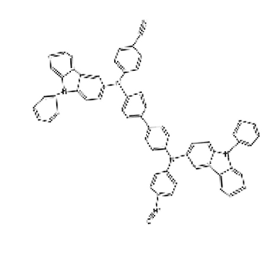 [C-]#[N+]c1ccc(N(c2ccc(-c3ccc(N(c4ccc(C#N)cc4)c4ccc5c(c4)c4ccccc4n5-c4ccccc4)cc3)cc2)c2ccc3c(c2)c2ccccc2n3-c2ccccc2)cc1